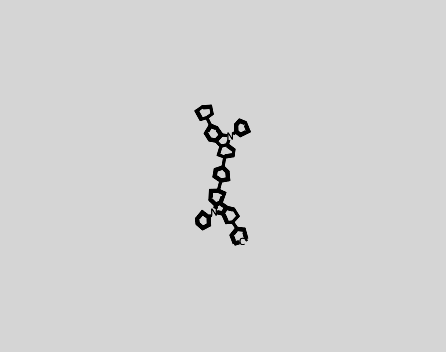 C1=CCC(c2ccc3c(c2)N(c2ccccc2)C2=CC=C(c4ccc(-c5ccc6c(c5)c5c(n6-c6ccccc6)=CC(c6ccccc6)CC=5)cc4)CC23)C=C1